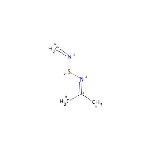 C=NSN=C(C)C